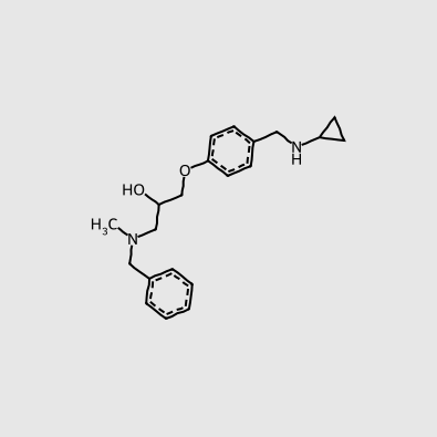 CN(Cc1ccccc1)CC(O)COc1ccc(CNC2CC2)cc1